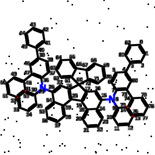 c1ccc(-c2ccc(N(c3ccccc3)c3cc4c(c5ccccc35)-c3c(cc(N(c5ccccc5)c5ccc(-c6ccccc6)cc5-c5ccccc5)c5ccccc35)C43c4ccccc4-c4ccccc43)c(-c3ccccc3)c2)cc1